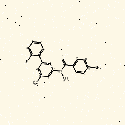 Cc1cc(-c2ccccc2F)cc(N(C)C(=O)c2ccc(N)cc2)c1